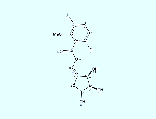 COc1c(Cl)ccc(Cl)c1C(=O)O/C=C1/OC(O)[C@H](O)[C@@H]1O